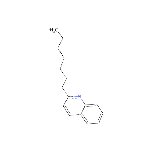 [CH2]CCCCCCc1ccc2ccccc2n1